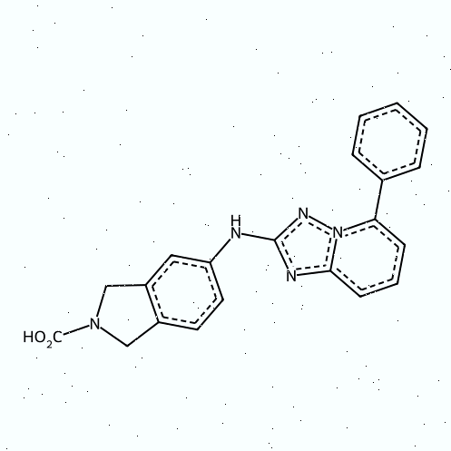 O=C(O)N1Cc2ccc(Nc3nc4cccc(-c5ccccc5)n4n3)cc2C1